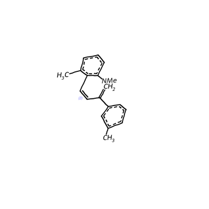 C=C(/C=C\c1c(C)cccc1NC)c1cccc(C)c1